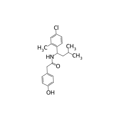 Cc1cc(Cl)ccc1C(CC(C)C)NC(=O)Cc1ccc(O)cc1